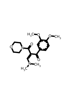 COc1ccc(C(=O)C(=CN(C)C)C(=O)N2CCOCC2)cc1OC